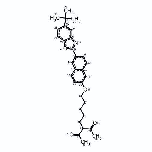 CC(=O)C(CCCCCOc1ccc2cc(-c3nc4cc(C(C)(C)C)ccc4o3)ccc2c1)C(C)=O